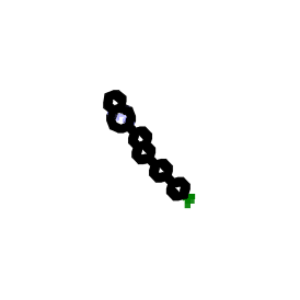 Fc1ccc(-c2ccc(-c3ccc4cc(/C5=C/C=c6/cccc/c6=C/CC5)ccc4c3)cc2)cc1